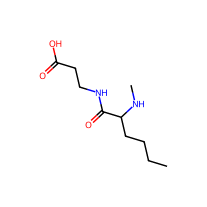 CCCCC(NC)C(=O)NCCC(=O)O